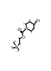 CCC1CCN(C(=O)OCC[Si](C)(C)C)CC1